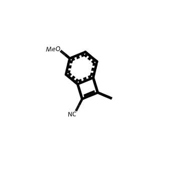 COc1ccc2c(c1)C(C#N)=C2C